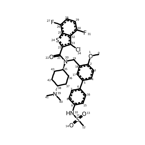 COc1ccc(-c2ccc(NS(C)(=O)=O)cc2)cc1CN(C(=O)c1sc2c(F)ccc(F)c2c1Cl)[C@H]1CC[C@H](N(C)C)CC1